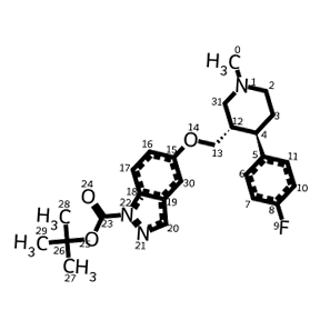 CN1CC[C@@H](c2ccc(F)cc2)[C@H](COc2ccc3c(cnn3C(=O)OC(C)(C)C)c2)C1